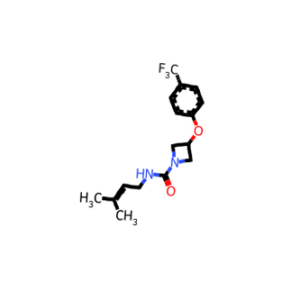 CC(C)=CCNC(=O)N1CC(Oc2ccc(C(F)(F)F)cc2)C1